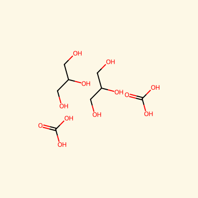 O=C(O)O.O=C(O)O.OCC(O)CO.OCC(O)CO